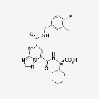 Cc1cc(CNC(=O)c2cc(C(=O)N[C@@H](C(=O)O)C3CCCCC3)n3ncnc3n2)ccc1F